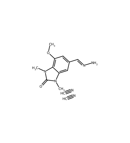 C#N.C#N.COc1cc(C=NN)cc2c1n(C)c(=O)n2C